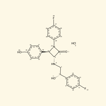 Cl.O=C1[C@H](NC[C@@H](O)c2ccc(F)cc2)[C@@H](c2ccc(O)cc2)N1c1ccc(F)cc1